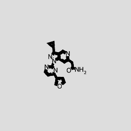 NC(=O)Cc1cc2c(cn1)c(C1CC1)nn2-c1nccc(-c2ccoc2)n1